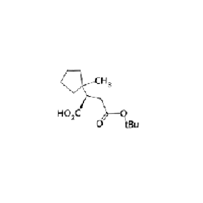 CC(C)(C)OC(=O)C[C@@H](C(=O)O)C1(C)CCCC1